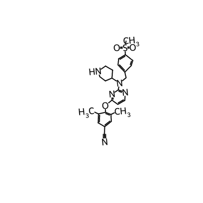 Cc1cc(C#N)cc(C)c1Oc1ccnc(N(Cc2ccc(S(C)(=O)=O)cc2)C2CCNCC2)n1